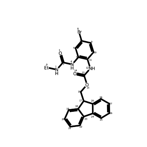 CCNC(=O)Nc1cc(Br)ccc1NC(=O)OCC1c2ccccc2-c2ccccc21